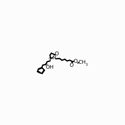 CCOC(=O)CCCCCCN1C(=O)CC[C@@H]1CC[C@@H](O)Cc1ccccc1